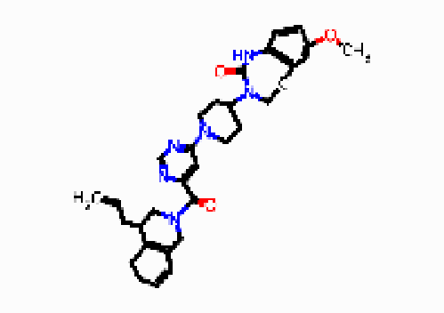 C=CCC1CN(C(=O)c2cc(N3CCC(N4CCc5cc(OC)ccc5NC4=O)CC3)ncn2)CC2=C1CCC=C2